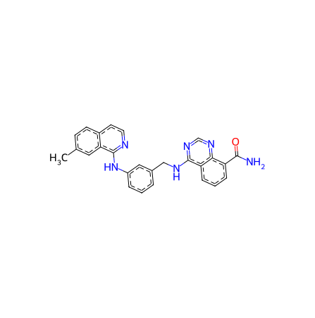 Cc1ccc2ccnc(Nc3cccc(CNc4ncnc5c(C(N)=O)cccc45)c3)c2c1